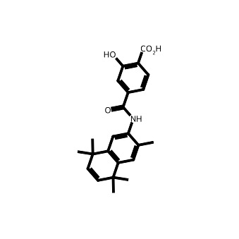 Cc1cc2c(cc1NC(=O)c1ccc(C(=O)O)c(O)c1)C(C)(C)C=CC2(C)C